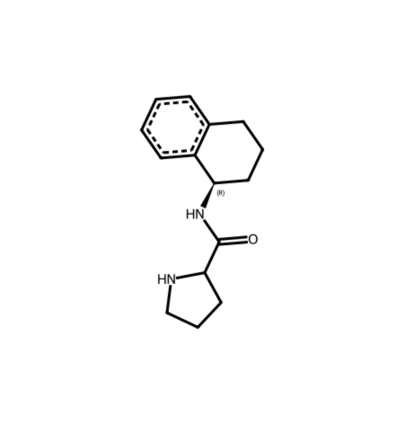 O=C(N[C@@H]1CCCc2ccccc21)C1CCCN1